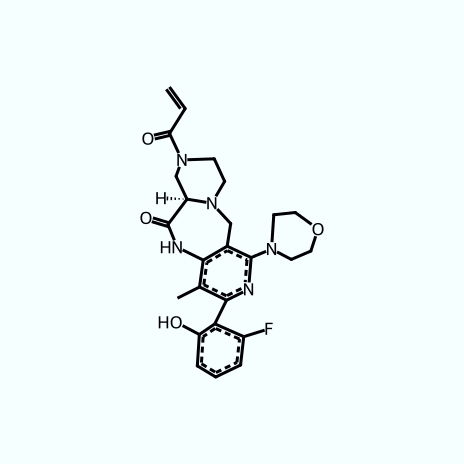 C=CC(=O)N1CCN2Cc3c(N4CCOCC4)nc(-c4c(O)cccc4F)c(C)c3NC(=O)[C@H]2C1